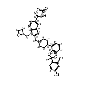 CC1(c2ccc(Cl)cc2F)Oc2cccc(C3CCN(Cc4nc5cc(-c6noc(=O)[nH]6)cnc5n4C[C@@H]4CCO4)CC3)c2O1